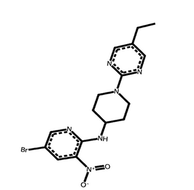 CCc1cnc(N2CCC(Nc3ncc(Br)cc3[N+](=O)[O-])CC2)nc1